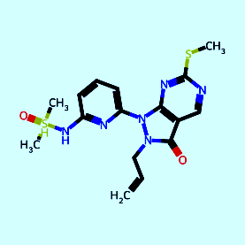 C=CCn1c(=O)c2cnc(SC)nc2n1-c1cccc(N[SH](C)(C)=O)n1